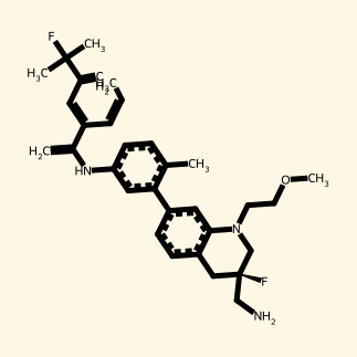 C=C(Nc1ccc(C)c(-c2ccc3c(c2)N(CCOC)C[C@](F)(CN)C3)c1)C(/C=C\C)=C/C(=C)C(C)(C)F